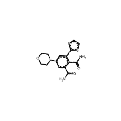 NC(=O)c1cc(N2CCOCC2)cc(-c2nccs2)c1C(N)=O